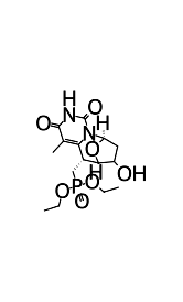 CCOP(=O)(C[C@@H]1c2c(C)c(=O)[nH]c(=O)n2[C@H]2CC(O)[C@@H]1O2)OCC